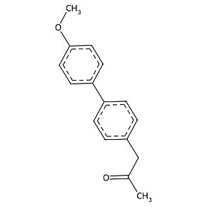 COc1ccc(-c2ccc(CC(C)=O)cc2)cc1